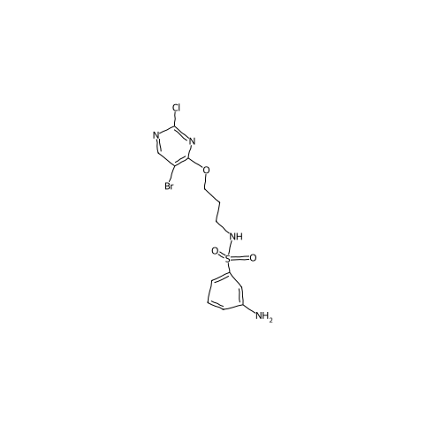 Nc1cccc(S(=O)(=O)NCCCOc2nc(Cl)ncc2Br)c1